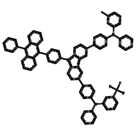 Cc1cccc(N(c2ccccc2)c2ccc(-c3ccc4c(c3)c3cc(-c5ccc(N(c6ccccc6)c6cccc(C(F)(F)F)c6)cc5)ccc3n4-c3ccc(-c4c5ccccc5c(-c5ccccc5)c5ccccc45)cc3)cc2)c1